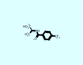 C[C@H](NC(=O)c1ccc(C(F)(F)F)cc1)C(=O)O